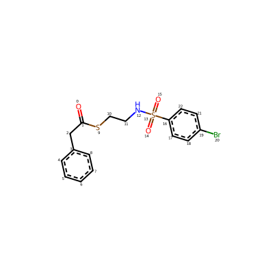 O=C(Cc1ccccc1)SCCNS(=O)(=O)c1ccc(Br)cc1